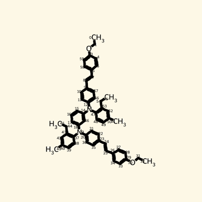 CCOc1ccc(/C=C/c2ccc(N(c3cccc(N(c4ccc(/C=C/c5ccc(OCC)cc5)cc4)c4ccc(C)cc4CC)c3)c3ccc(C)cc3CC)cc2)cc1